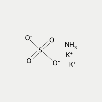 N.O=S(=O)([O-])[O-].[K+].[K+]